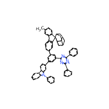 Cc1ccc2c(c1)-c1ccc(-c3cc(-c4ccc5c6ccccc6n(-c6ccccc6)c5c4)cc(-c4nc(-c5ccccc5)nc(-c5ccccc5)n4)c3)cc1C21C2CC3CC(C2)CC1C3